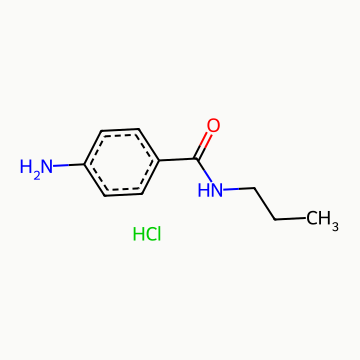 CCCNC(=O)c1ccc(N)cc1.Cl